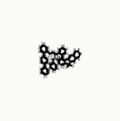 CC1(C)c2cc3ccccc3cc2-c2c(-c3ccccc3/C(=C/Cc3ccccc3-c3ccc(-c4ccccc4)cc3)NCc3ccccc3)cccc21